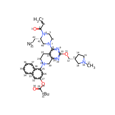 C=CC(=O)N1CCN(c2nc(OC[C@@H]3CCN(C)C3)nc3c2CCN(c2cc(OC(=O)C(C)(C)C)cc4ccccc24)C3)C[C@@H]1CC#N